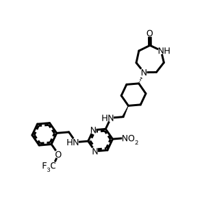 O=C1CCN([C@H]2CC[C@H](CNc3nc(NCc4ccccc4OC(F)(F)F)ncc3[N+](=O)[O-])CC2)CCN1